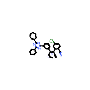 C#C/C(=C(\C=C/C)c1cccc(-c2nc(C3=CC=CCC=C3)nc(-c3ccccc3)n2)c1)C1CC(Cl)=CC=C1C#N